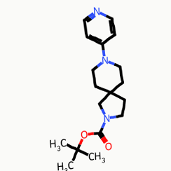 CC(C)(C)OC(=O)N1CCC2(CCN(c3ccncc3)CC2)C1